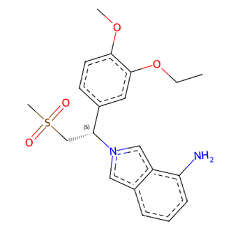 CCOc1cc([C@@H](CS(C)(=O)=O)n2cc3cccc(N)c3c2)ccc1OC